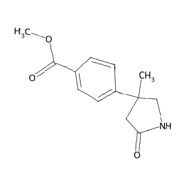 COC(=O)c1ccc(C2(C)CNC(=O)C2)cc1